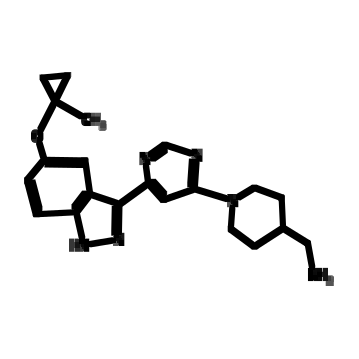 CC1(Oc2ccc3[nH]nc(-c4cc(N5CCC(CN)CC5)ncn4)c3c2)CC1